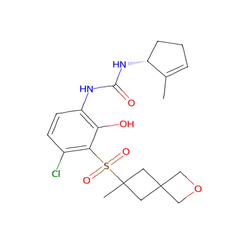 CC1=CCC[C@H]1NC(=O)Nc1ccc(Cl)c(S(=O)(=O)C2(C)CC3(COC3)C2)c1O